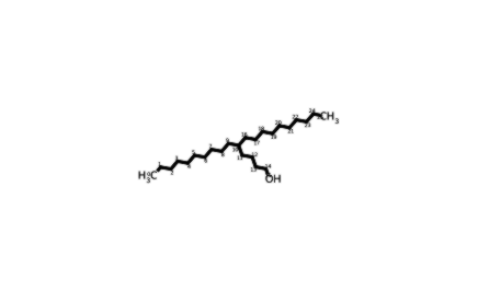 CCCCCCCCCCC(CCCCO)CCCCCCCCCC